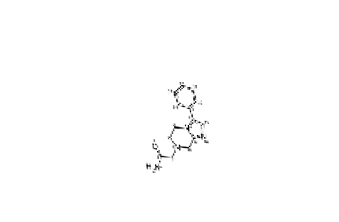 NC(=O)CN1CCn2c(-c3ccccc3)cnc2C1